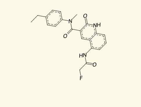 CCc1ccc(N(C)C(=O)c2cc3c(NC(=O)CF)cccc3[nH]c2=O)cc1